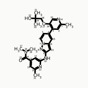 Cc1cc(-c2ccn3nc(Nc4cc(C(=O)N(C)C)cc(C)n4)cc3c2)c(OCC(C)(C)O)cn1